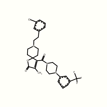 CC1=C(C(=O)N2CCN(c3cccc(C(F)(F)F)c3)CC2)C2(CCN(CCc3cccc(Cl)c3)CC2)OC1=O